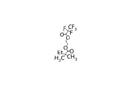 CCC(C)(C)C(=O)OCCOC(=O)C(F)(F)C(F)(F)F